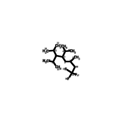 CC(CC(C(C)C)C(C(C)C)C(C)C)CC(F)(F)F